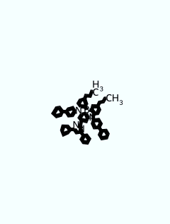 CCCCc1ccc2c(c1)B1c3cc(CCCC)ccc3N(c3ccc(-c4ccccc4)cc3)c3cc(-c4nc(-c5ccccc5)cc(-c5ccccc5)n4)cc(c31)N2c1ccc(-c2ccccc2)cc1